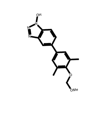 COCOc1c(C)cc(-c2ccc3c(c2)nnn3O)cc1C